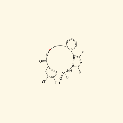 O=C1c2cc(Cl)c(O)c(c2)S(=O)(=O)Nc2cc(c(F)cc2F)-c2ccccc2CC2CN1C2